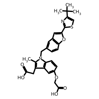 Cc1c(CC(=O)O)c2cc(OCC(=O)O)ccc2n1Cc1ccc2oc(-c3nc(C(C)(C)C)cs3)cc2c1